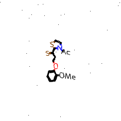 COc1ccccc1OCCC(=S)C1SCCN1C(C)=O